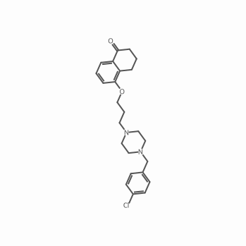 O=C1CCCc2c(OCCCN3CCN(Cc4ccc(Cl)cc4)CC3)cccc21